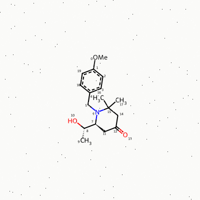 COc1ccc(CN2[C@H]([C@H](C)O)CC(=O)CC2(C)C)cc1